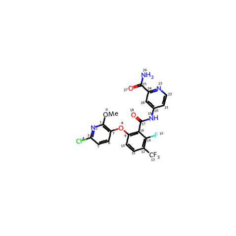 COc1nc(Cl)ccc1Oc1ccc(C(F)(F)F)c(F)c1C(=O)Nc1ccnc(C(N)=O)c1